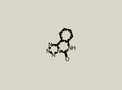 O=c1[nH]c2ccccc2c2nnnn12